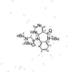 CCCCN(CCCC)CC(=O)N1c2ccccc2N(CCCC)C(=O)C2=CN=CNC21